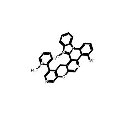 CC(C)c1cccc2c1c1ncc3c(c1c1n2c2ccccc2[n+]1C)Cc1c(cncc1-c1cccc[n+]1C)O3